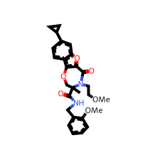 COCCN1C(=O)c2oc3cc(C4CC4)ccc3c2OCC1(C)C(=O)NCc1ccccc1OC